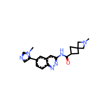 CN1CC2(CC(C(=O)Nc3cc4cc(-c5cncn5C)ccc4nn3)C2)C1